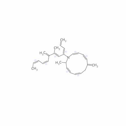 C=C/C=C(\C=C(/C)C(=C)/C=C\C=C/C)N1/C=C\C=C/C(=C)C/C=C\C=C/C1C